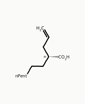 C=CC[C@@H](CCCCCCC)C(=O)O